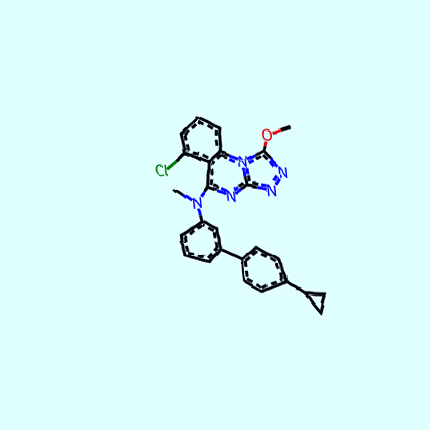 COc1nnc2nc(N(C)c3cccc(-c4ccc(C5CC5)cc4)c3)c3c(Cl)cccc3n12